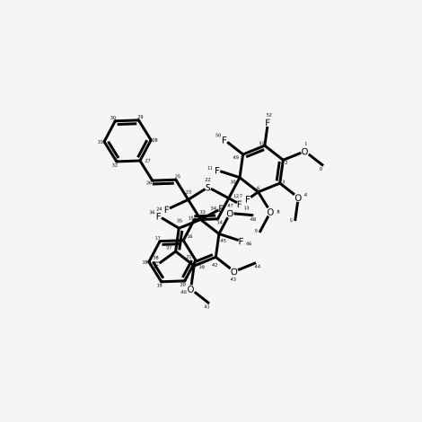 COC1=C(OC)C(F)(OC)C(F)(C(F)(C=Cc2ccccc2)SC(F)(C=Cc2ccccc2)C2(F)C(F)=C(F)C(OC)=C(OC)C2(F)OC)C(F)=C1F